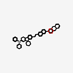 C1=CC2C3C4=C(CC(c5ccc6cc(/C=C/c7ccc8c(c7)C7(CCCCC7)C7=C8CCC(N(C8=CCCC=C8)c8ccccc8)=C7)ccc6c5)C=C4)C(c4ccccc43)C2C=C1